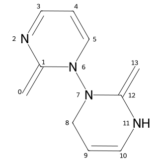 C=C1N=CC=CN1N1CC=CNC1=C